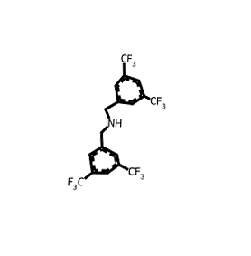 FC(F)(F)c1cc(CNCc2cc(C(F)(F)F)cc(C(F)(F)F)c2)cc(C(F)(F)F)c1